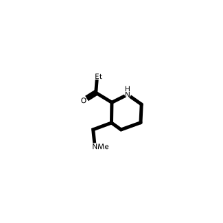 CCC(=O)C1NCCCC1CNC